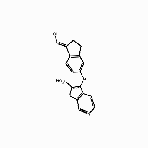 O=C(O)c1oc2cnccc2c1Nc1ccc2c(c1)CC/C2=N\O